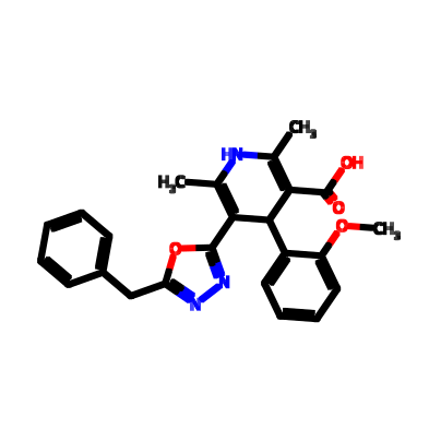 COc1ccccc1C1C(C(=O)O)=C(C)NC(C)=C1c1nnc(Cc2ccccc2)o1